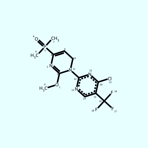 COC1=NC(P(C)(C)=O)=CCN1c1ncc(C(F)(F)F)c(Cl)n1